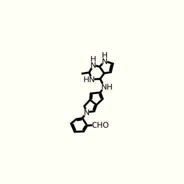 CC1NC2NC=CC2C(NC2=CC3=CN(c4ccccc4C=O)CC3=C2)N1